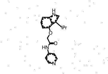 CC(C)c1c[nH]c2cccc(OCC(=O)Nc3ccncc3)c12